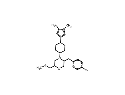 CSCC1CN(C2CCC(c3nc(C)n(C)n3)CC2)C(Cc2ccc(Br)cc2)CO1